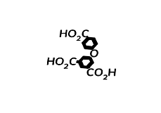 O=C(O)c1ccc(Oc2cc(C(=O)O)cc(C(=O)O)c2)cc1